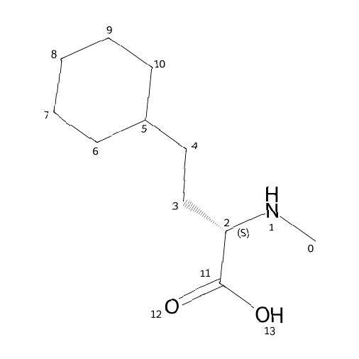 CN[C@@H](CCC1CCCCC1)C(=O)O